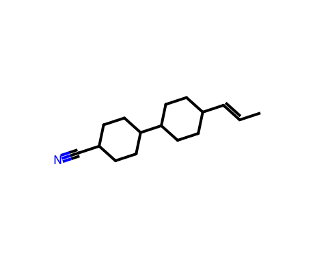 CC=CC1CCC(C2CCC(C#N)CC2)CC1